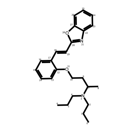 CCCN(CCC)C(C)CCOc1ccccc1/C=C/c1nc2ccccc2o1